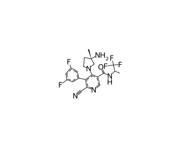 CC(NC(=O)c1cnc(C#N)c(-c2cc(F)cc(F)c2)c1N1CC[C@](C)(N)C1)C(F)(F)F